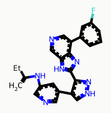 C=C(CC)Nc1cncc(-c2c[nH]nc2-c2nc3c(-c4cccc(F)c4)cncc3[nH]2)c1